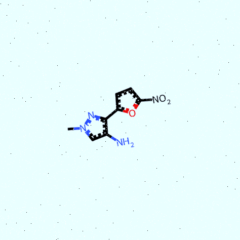 Cn1cc(N)c(-c2ccc([N+](=O)[O-])o2)n1